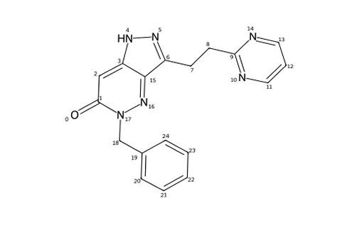 O=c1cc2[nH]nc(CCc3ncccn3)c2nn1Cc1ccccc1